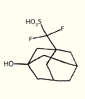 O=S(=O)(O)C(F)(F)C12CC3CC(CC(O)(C3)C1)C2